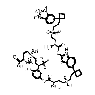 N=S(=O)(CCC(c1cc(OC(=O)[C@@H](N)CCS(=N)(=O)CCC2(c3ccc4[nH]c(OC(=O)[C@@H](N)CCS(=N)(=O)CCC5(c6ccc7c(c6)NNN7)CCC5)nc4c3)CCC2)ccc1O)C(F)(F)F)CC[C@H](N)C(=O)O